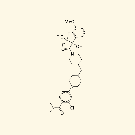 COc1cccc([C@@](O)(C(=O)N2CCC(CC3CCN(c4ccc(C(=O)N(C)C)c(Cl)c4)CC3)CC2)C(F)(F)C(F)(F)F)c1